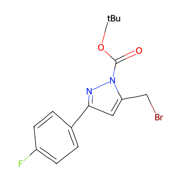 CC(C)(C)OC(=O)n1nc(-c2ccc(F)cc2)cc1CBr